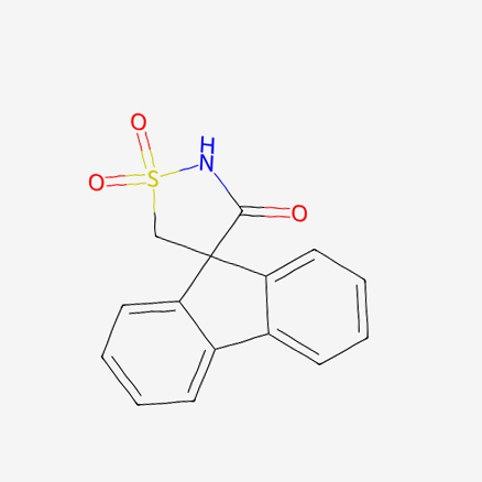 O=C1NS(=O)(=O)CC12c1ccccc1-c1ccccc12